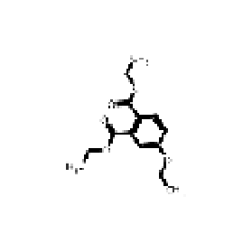 CCOC(=O)c1ccc(OCC)cc1C(=O)OCC